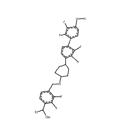 CCOc1ccc(-c2ccc(C3CCC(OCc4ccc(C(O)CC)c(F)c4F)CC3)c(F)c2F)c(F)c1F